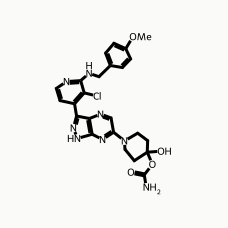 COc1ccc(CNc2nccc(-c3n[nH]c4nc(N5CCC(O)(OC(N)=O)CC5)cnc34)c2Cl)cc1